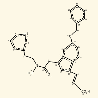 CN(CCc1ccccc1)C(=O)Cc1cn(C=CC(=O)O)c2ccc(OCc3ccccc3)cc12